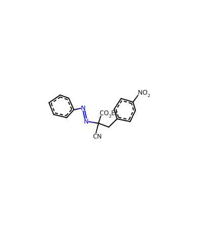 CCOC(=O)C(C#N)(Cc1ccc([N+](=O)[O-])cc1)N=Nc1ccccc1